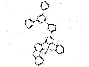 CC1(C)c2c(-c3ccccc3)nc(-c3cccc(-c4nc(-c5ccccc5)nc(-c5ccccc5)n4)c3)nc2-c2ccc3oc4ccccc4c3c21